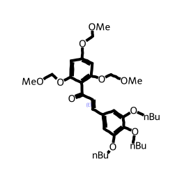 CCCCOc1cc(/C=C/C(=O)c2c(OCOC)cc(OCOC)cc2OCOC)cc(OCCCC)c1OCCCC